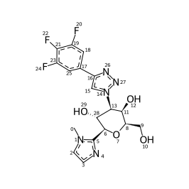 Cn1ccnc1[C@@H]1O[C@H](CO)[C@H](O)[C@H](n2cc(-c3cc(F)c(F)c(F)c3)nn2)[C@H]1O